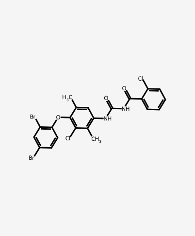 Cc1cc(NC(=O)NC(=O)c2ccccc2Cl)c(C)c(Cl)c1Oc1ccc(Br)cc1Br